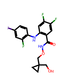 O=C(NOCC1(CO)CC1)c1cc(F)c(F)cc1Nc1ccc(I)cc1F